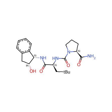 CC(C)(C)C[C@H](NC(=O)N1CCC[C@H]1C(N)=O)C(=O)N[C@H]1c2ccccc2C[C@H]1O